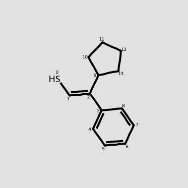 SC=C(c1ccccc1)C1CCCC1